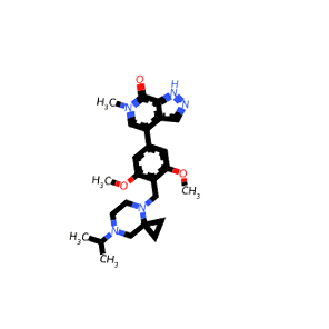 COc1cc(-c2cn(C)c(=O)c3[nH]ncc23)cc(OC)c1CN1CCN(C(C)C)CC12CC2